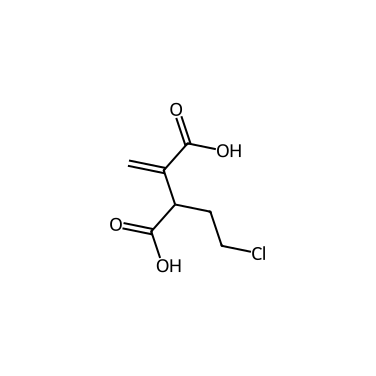 C=C(C(=O)O)C(CCCl)C(=O)O